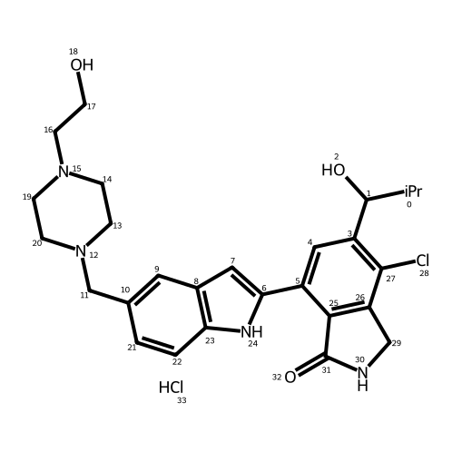 CC(C)C(O)c1cc(-c2cc3cc(CN4CCN(CCO)CC4)ccc3[nH]2)c2c(c1Cl)CNC2=O.Cl